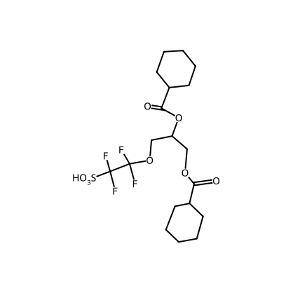 O=C(OCC(COC(F)(F)C(F)(F)S(=O)(=O)O)OC(=O)C1CCCCC1)C1CCCCC1